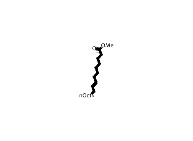 CCCCCCCCC/C=C/CCCCCCC(=O)OC